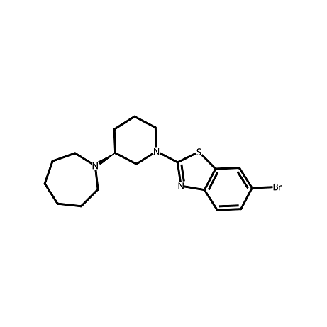 Brc1ccc2nc(N3CCC[C@H](N4CCCCCC4)C3)sc2c1